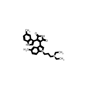 CCN(CC)CCCn1cc(C2=C(c3c[nH]c4ccc(C)cc34)C(=O)NC2=O)c2cc(C)ccc21